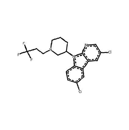 FC(F)(F)CCN1CCCC(n2c3ccc(Cl)cc3c3cc(Cl)cnc32)C1